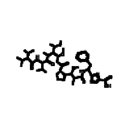 CCC(C)C(C(CC(=O)N1CCCC1C(OC)C(C)C(=O)NC(Cc1ccccc1)c1nc(C(=O)O)cs1)OC)N(C)C(=O)C(NC(=O)C(C(C)C)N(C)C)C(C)C